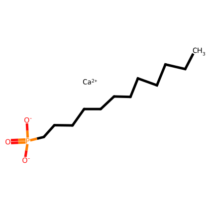 CCCCCCCCCCCCP(=O)([O-])[O-].[Ca+2]